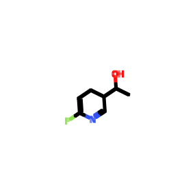 CC(O)C1C=NC(F)=CC1